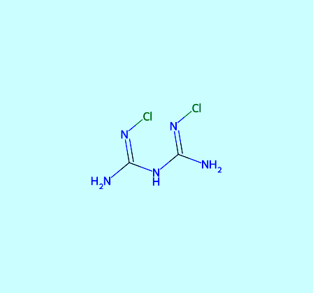 NC(=NCl)NC(N)=NCl